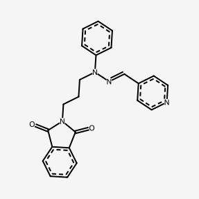 O=C1c2ccccc2C(=O)N1CCCN(/N=C/c1ccncc1)c1ccccc1